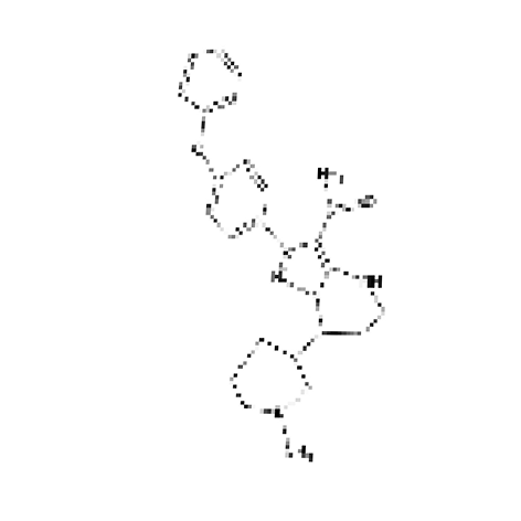 CN1CCCC(C2CCNc3c(C(N)=O)c(-c4ccc(Oc5ccccc5)cc4)nn32)C1